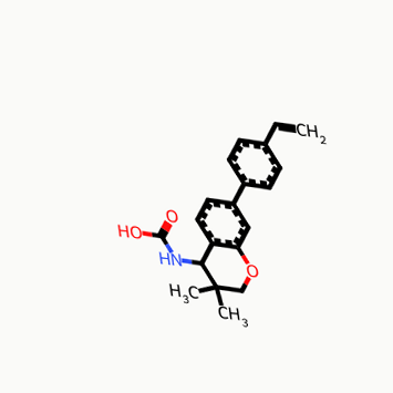 C=Cc1ccc(-c2ccc3c(c2)OCC(C)(C)C3NC(=O)O)cc1